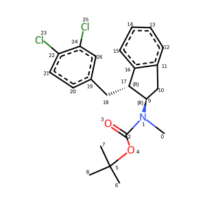 CN(C(=O)OC(C)(C)C)[C@@H]1Cc2ccccc2[C@H]1Cc1ccc(Cl)c(Cl)c1